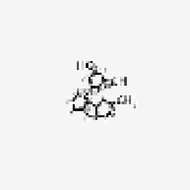 Cc1ccc2c(c1)-c1c(cccc1-c1cc(O)cc(O)c1)C2